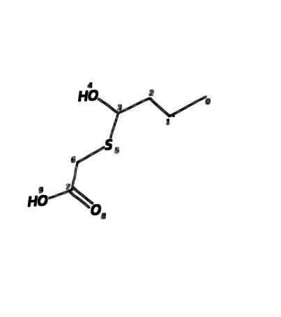 C[CH]CC(O)SCC(=O)O